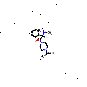 CC(C)N1CCN(C(=O)C(C)(c2ccccc2)N(C)C)CC1